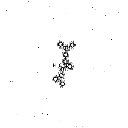 Cc1cn(-c2ccc3c(c2)c2ccccc2n3-c2ccccc2)cc1-n1c2ccccc2c2cc(-c3ccc(-c4nc(-c5ccccc5)cc(-c5ccccc5)n4)cc3)ccc21